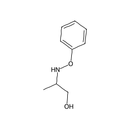 CC(CO)NOc1ccccc1